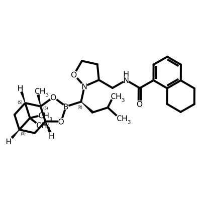 CC(C)C[C@@H](B1O[C@@H]2C[C@@H]3C[C@@H](C3(C)C)[C@]2(C)O1)N1OCCC1CNC(=O)c1cccc2c1CCCC2